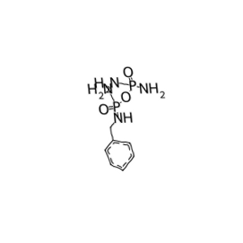 NP(N)(=O)OP(N)(=O)NCc1ccccc1